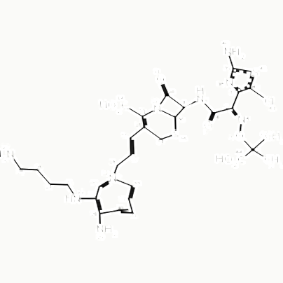 CC(C)(O/N=C(\C(=O)N[C@@H]1C(=O)N2C(C(=O)O)=C(/C=C/C[N+]3=C/C(NCCCCN)=C(N)\C=C\C=C\3)CSC12)c1nc(N)sc1Cl)C(=O)O